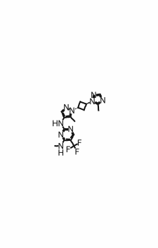 CNc1nc(Nc2cnn([C@H]3C[C@H](n4ncnc4C)C3)c2C)ncc1C(F)(F)F